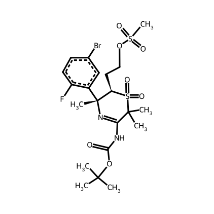 CC(C)(C)OC(=O)NC1=N[C@](C)(c2cc(Br)ccc2F)[C@@H](CCOS(C)(=O)=O)S(=O)(=O)C1(C)C